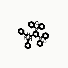 c1ccc(-c2nc(-c3ccccc3)nc(-c3cc(N4c5ccccc5Oc5ccccc54)cc(N4c5ccccc5Oc5ccccc54)c3)n2)cc1